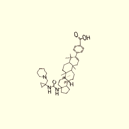 CC1(C)C(c2ccc(C(=O)O)cc2)=CCC2(C)C1CCC1(C)C2CC[C@@H]2C3CCCC3(NC(=O)NC3(CN4CCCCC4)CC3)CC[C@]21C